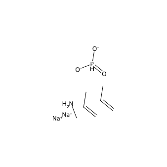 C=CC.C=CC.CN.O=[PH]([O-])[O-].[Na+].[Na+]